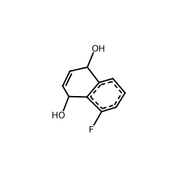 OC1C=CC(O)c2c(F)cccc21